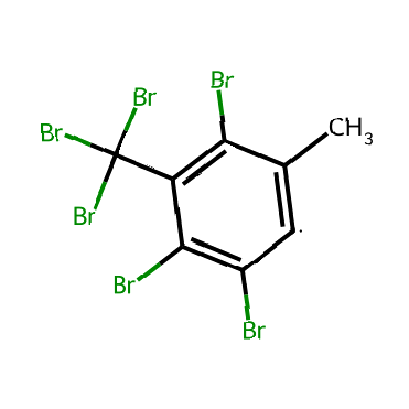 Cc1[c]c(Br)c(Br)c(C(Br)(Br)Br)c1Br